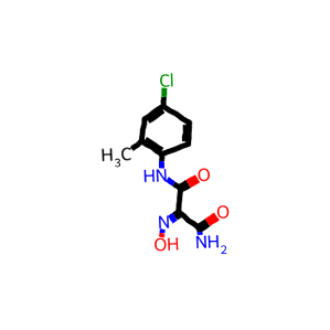 Cc1cc(Cl)ccc1NC(=O)C(=NO)C(N)=O